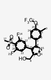 Cc1cc(-c2noc(CO)c2-c2cc(F)c(S(C)(=O)=O)c(F)c2)ccc1OC(F)(F)F